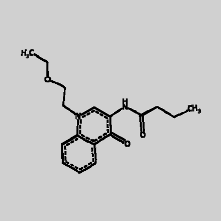 CCCC(=O)Nc1cn(CCOCC)c2ccccc2c1=O